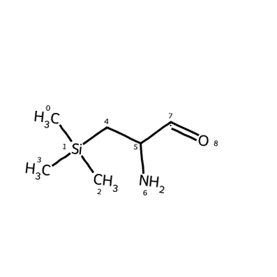 C[Si](C)(C)CC(N)[C]=O